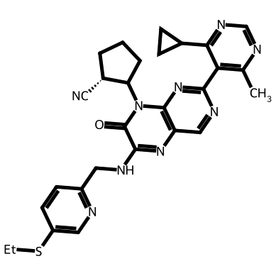 CCSc1ccc(CNc2nc3cnc(-c4c(C)ncnc4C4CC4)nc3n(C3CCC[C@H]3C#N)c2=O)nc1